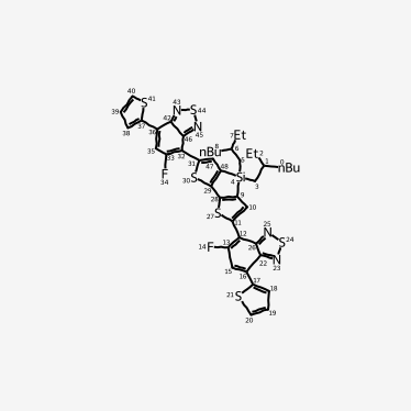 CCCCC(CC)C[Si]1(CC(CC)CCCC)c2cc(-c3c(F)cc(-c4cccs4)c4nsnc34)sc2-c2sc(-c3c(F)cc(-c4cccs4)c4nsnc34)cc21